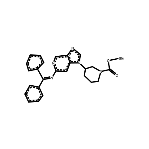 CC(C)(C)OC(=O)N1CCCC(n2cnc3cnc(N=C(c4ccccc4)c4ccccc4)cc32)C1